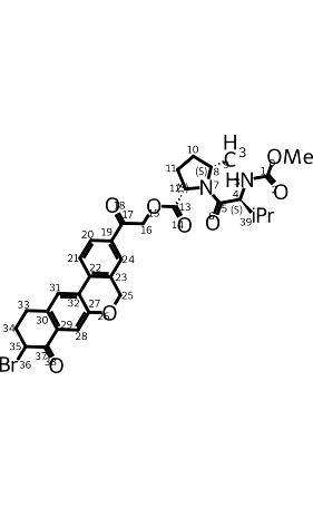 COC(=O)N[C@H](C(=O)N1[C@@H](C)CC[C@H]1C(=O)OCC(=O)c1ccc2c(c1)COc1cc3c(cc1-2)CCC(Br)C3=O)C(C)C